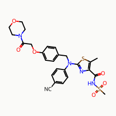 Cc1sc(N(Cc2ccc(OCC(=O)N3CCOCC3)cc2)c2ccc(C#N)cc2)nc1C(=O)NS(C)(=O)=O